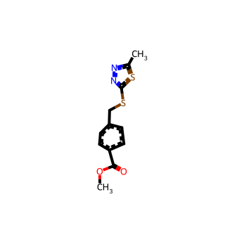 COC(=O)c1ccc(CSc2nnc(C)s2)cc1